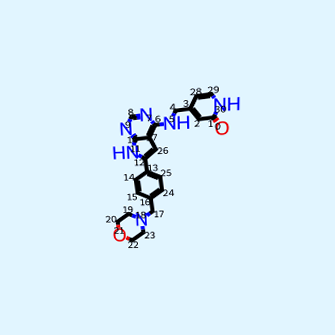 O=c1cc(CNc2ncnc3[nH]c(-c4ccc(CN5CCOCC5)cc4)cc23)cc[nH]1